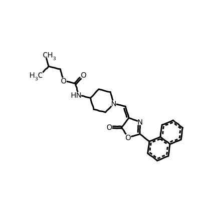 CC(C)COC(=O)NC1CCN(/C=C2/N=C(c3cccc4ccccc34)OC2=O)CC1